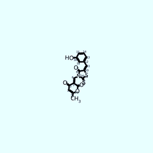 CC1=CC(=O)C(=CN2C(=O)/C(=C\c3cccc(O)c3)SC2=S)C(=O)O1